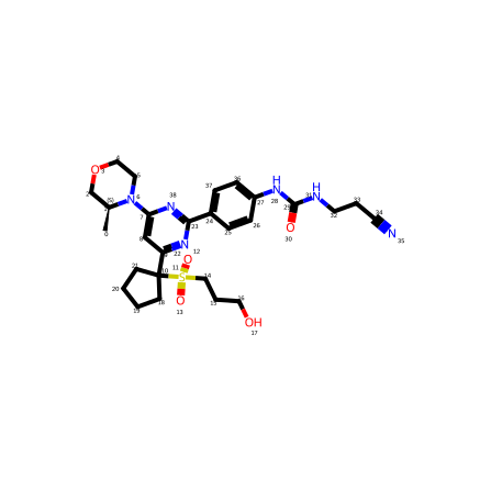 C[C@H]1COCCN1c1cc(C2(S(=O)(=O)CCCO)CCCC2)nc(-c2ccc(NC(=O)NCCC#N)cc2)n1